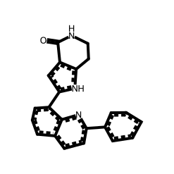 O=C1NCCc2[nH]c(-c3cccc4ccc(-c5ccccc5)nc34)cc21